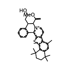 C=C(OC)C1C(CCO)c2ccccc2-c2c3sc4c5c(cc(C)c4c3cc[n+]21)C(C)(C)CCC5(C)C